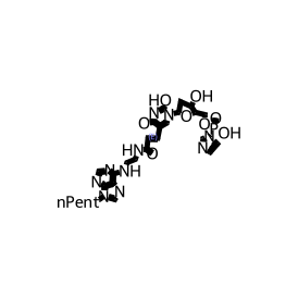 CCCCCn1cnc2c(NCCNC(=O)/C=C/c3cn(C4CC(O)C(COP(=O)(O)n5ccnc5)O4)c(=O)[nH]c3=O)ncnc21